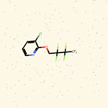 FC(F)(F)C(F)(F)C(F)(F)COc1ncccc1Cl